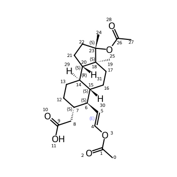 CC(=O)O/C=C/[C@H]1[C@H](CC(=O)O)CC[C@@H]2[C@@H]1CC[C@@]1(C)[C@H]2CC[C@]1(C)OC(C)=O